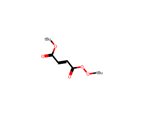 CC(C)(C)OOC(=O)C=CC(=O)OC(C)(C)C